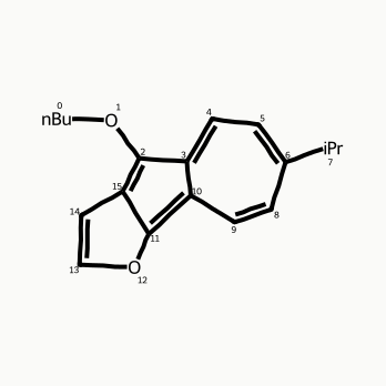 CCCCOc1c2ccc(C(C)C)ccc-2c2occc12